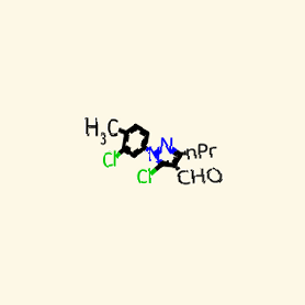 CCCc1nn(-c2ccc(C)c(Cl)c2)c(Cl)c1C=O